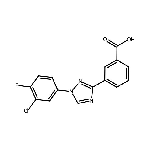 O=C(O)c1cccc(-c2ncn(-c3ccc(F)c(Cl)c3)n2)c1